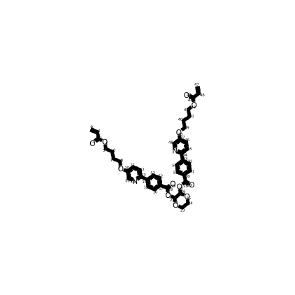 C=CC(=O)OCCCCOc1ccc(-c2ccc(C(=O)OC3OCCOC3OC(=O)c3ccc(-c4ccc(OCCCCOC(=O)C=C)cn4)cc3)cc2)nc1